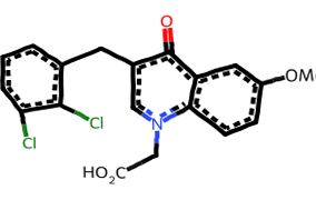 COc1ccc2c(c1)c(=O)c(Cc1cccc(Cl)c1Cl)cn2CC(=O)O